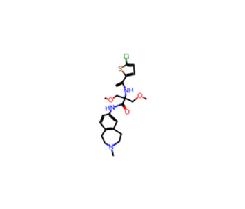 C=C(NC(COC)(COC)C(=O)Nc1ccc2c(c1)CCN(C)CC2)c1ccc(Cl)s1